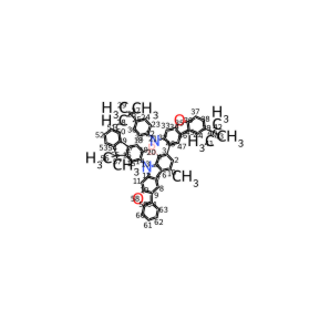 Cc1cc2c3c4c1c1cc5c(cc1n4-c1cc4c(cc1B3N(c1ccc(C(C)(C)C)cc1)c1cc3oc6ccc(C(C)(C)C)cc6c3cc1-2)-c1ccccc1C4(C)C)oc1ccccc15